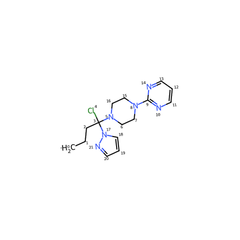 [CH2]CCC(Cl)(N1CCN(c2ncccn2)CC1)n1cccn1